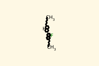 C/C=C/CCc1ccc2cc([C@@H]3CC[C@@H]4CC(CCCCCC)CCC4C3)cc(F)c2c1